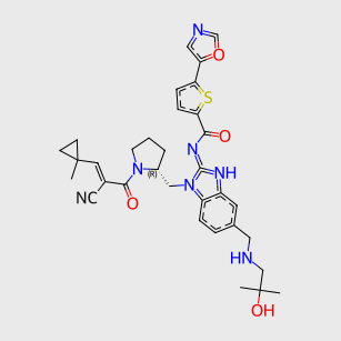 CC(C)(O)CNCc1ccc2c(c1)[nH]c(=NC(=O)c1ccc(-c3cnco3)s1)n2C[C@H]1CCCN1C(=O)C(C#N)=CC1(C)CC1